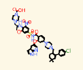 CC1(C)CCC(CN2CCN(c3ccc(C(=O)NS(=O)(=O)c4cc5c(c([N+](=O)[O-])c4)N[C@H](CN4CCN(C(=O)O)CC4)CO5)c(Oc4cnc5[nH]ccc5c4)c3)CC2)=C(c2ccc(Cl)cc2)C1